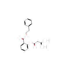 C=C(C)CC(=O)Oc1ccccc1C(=O)OCCc1ccccc1